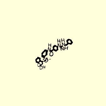 N=C(NCc1ccccc1)Nc1ccc(C(=O)Nc2cccc([S+]([O-])C(CC(=O)O)c3ccccc3)c2)cc1